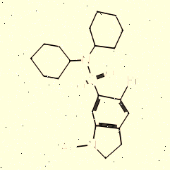 CC(=O)N1CCc2cc(Br)c(S(=O)(=O)N(C3CCCCC3)C3CCCCC3)cc21